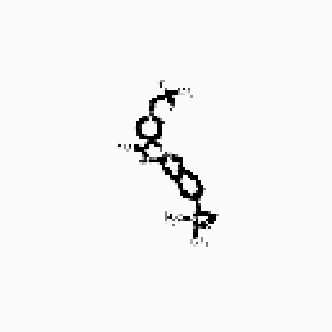 C=C(Nc1cc2cc(-c3cnc(C)n3C)ccc2cn1)C1(F)CCN(CC(C)(F)F)CC1